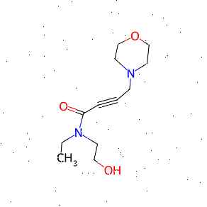 CCN(CCO)C(=O)C#CCN1CCOCC1